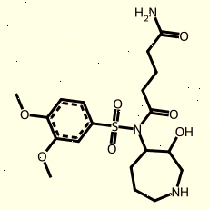 COc1ccc(S(=O)(=O)N(C(=O)CCCC(N)=O)C2CCCNCC2O)cc1OC